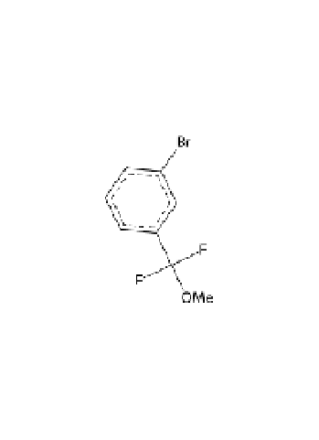 COC(F)(F)c1cccc(Br)c1